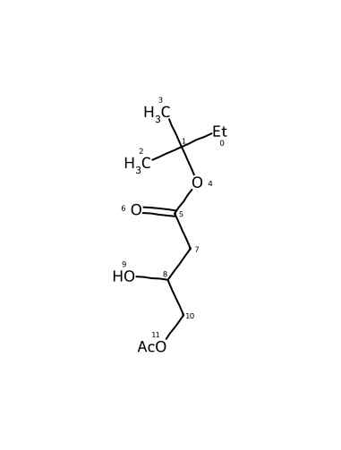 CCC(C)(C)OC(=O)CC(O)COC(C)=O